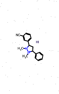 CN1C(c2ccccc2)CC(c2cccc(C#N)c2)N1C.I